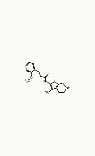 N#Cc1c(NC(=O)CCc2ccccc2OC(F)(F)F)sc2c1CCNC2